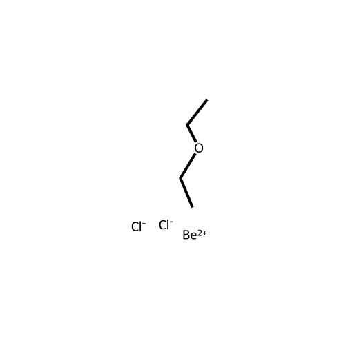 CCOCC.[Be+2].[Cl-].[Cl-]